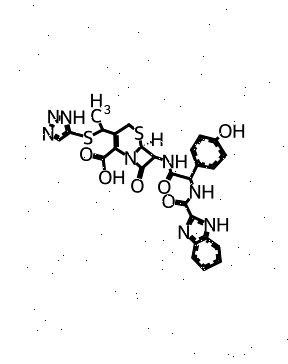 CC(Sc1cnn[nH]1)C1=C(C(=O)O)N2C(=O)C(NC(=O)C(NC(=O)c3nc4ccccc4[nH]3)c3ccc(O)cc3)[C@@H]2SC1